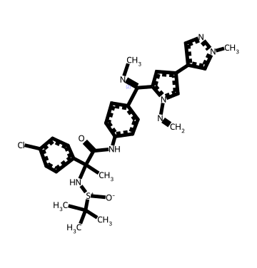 C=Nn1cc(-c2cnn(C)c2)cc1/C(=N\C)c1ccc(NC(=O)C(C)(N[S+]([O-])C(C)(C)C)c2ccc(Cl)cc2)cc1